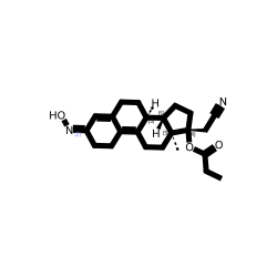 CCC(=O)O[C@@]1(CC#N)CC[C@H]2[C@@H]3CCC4=C/C(=N\O)CCC4=C3CC[C@@]21C